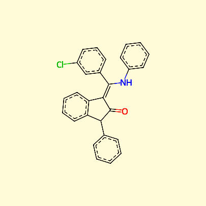 O=C1/C(=C(\Nc2ccccc2)c2cccc(Cl)c2)c2ccccc2C1c1ccccc1